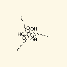 CCCCCCCCCc1c(C(=O)O)c(CCCCCCCCC)c(C(=O)O)c(CCCCCCCCC)c1C(=O)O